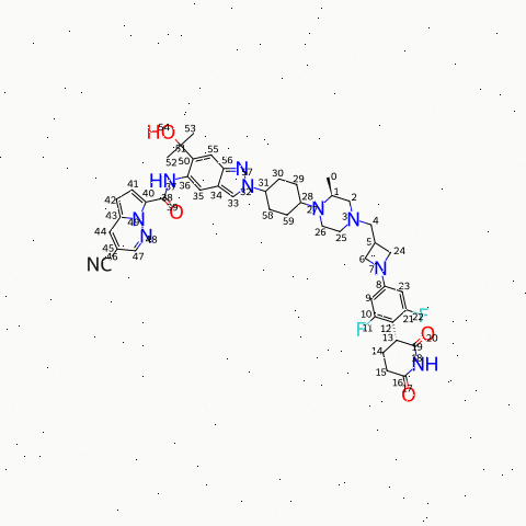 C[C@H]1CN(CC2CN(c3cc(F)c([C@H]4CCC(=O)NC4=O)c(F)c3)C2)CCN1C1CCC(n2cc3cc(NC(=O)c4ccc5cc(C#N)cnn45)c(C(C)(C)O)cc3n2)CC1